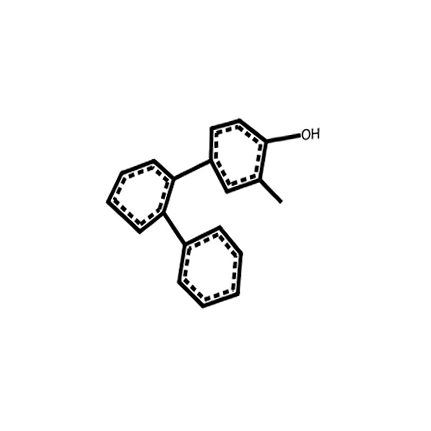 Cc1cc(-c2ccccc2-c2ccccc2)ccc1O